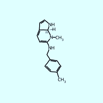 Cc1ccc(CNC2=CC=C3C=CN[C@H]3N2C)cc1